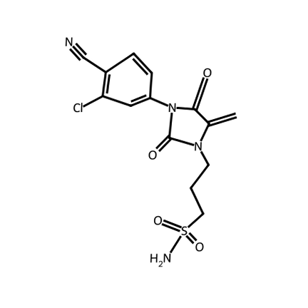 C=C1C(=O)N(c2ccc(C#N)c(Cl)c2)C(=O)N1CCCS(N)(=O)=O